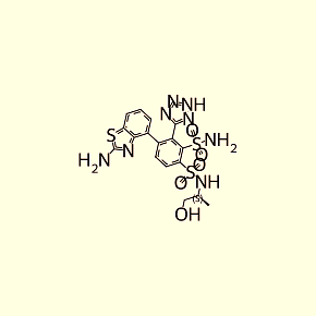 C[C@@H](CO)NS(=O)(=O)c1ccc(-c2cccc3sc(N)nc23)c(-c2nn[nH]n2)c1S(N)(=O)=O